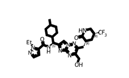 CCn1nccc1C(=O)N[C@H](c1cn2nc(C[C@H]3C[C@@H](C(F)(F)F)CNC3=O)c(CO)nc2n1)C1CCC(C)CC1